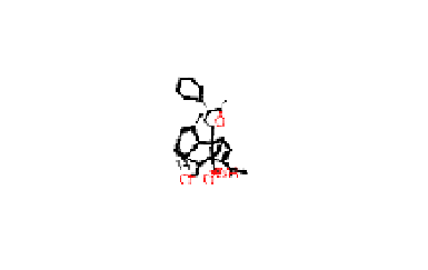 CC(C)C1=CC2CC3(C=O)[C@@H]4CC[C@@H](C)C4C2([C@H]2C[C@@H](C4CCCCC4)[C@H](C)O2)C13C(=O)O